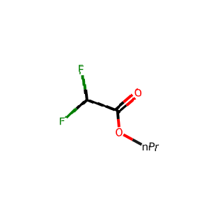 CCCOC(=O)C(F)F